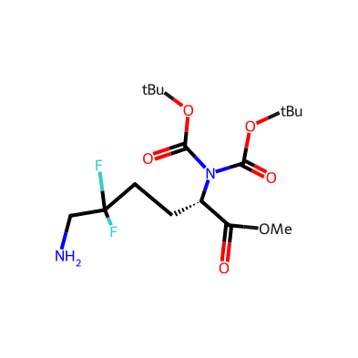 COC(=O)[C@H](CCC(F)(F)CN)N(C(=O)OC(C)(C)C)C(=O)OC(C)(C)C